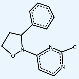 Clc1nccc(N2OCCC2c2ccccc2)n1